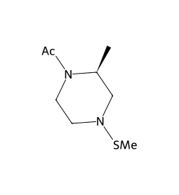 CSN1CCN(C(C)=O)[C@@H](C)C1